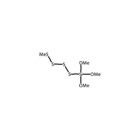 CO[Si](OC)(OC)SSSSC